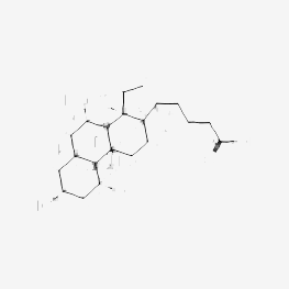 C[C@H](CCC(=O)O)[C@H]1CC[C@H]2[C@@H]3[C@H](O)C[C@@H]4C[C@H](O)C[C@H](O)[C@]4(C)[C@H]3CC[C@]12C